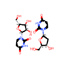 O=c1ccn([C@@H]2O[C@H](CO)[C@@H](O)[C@H]2O)c(=O)[nH]1.O=c1ccn([C@H]2C[C@H](O)[C@@H](CO)O2)c(=O)[nH]1